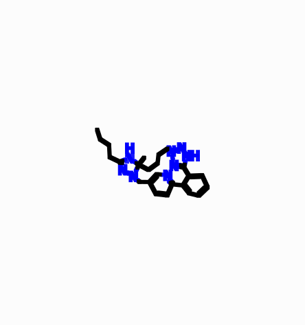 CCCCC1=NN(Cc2ccc(-c3ccccc3-c3nnn[nH]3)nc2)C(C)(CCCC)N1